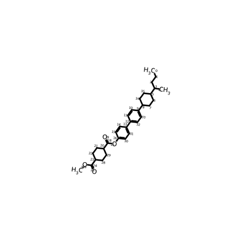 CCCC(C)C1CCC(c2ccc(-c3ccc(OC(=O)C4CCC(C(=O)OC)CC4)cc3)cc2)CC1